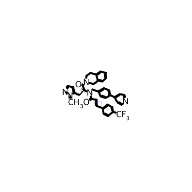 Cn1nccc1C[C@@H](C(=O)N1CCc2ccccc2C1)N(Cc1ccc(-c2ccncc2)cc1)C(=O)/C=C/c1ccc(C(F)(F)F)cc1